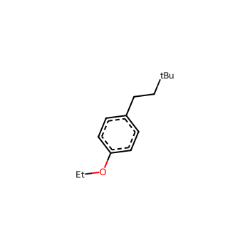 CCOc1ccc(CCC(C)(C)C)cc1